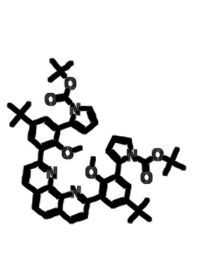 COc1c(-c2ccc3ccc4ccc(-c5cc(C(C)(C)C)cc(-c6cccn6C(=O)OC(C)(C)C)c5OC)nc4c3n2)cc(C(C)(C)C)cc1-c1cccn1C(=O)OC(C)(C)C